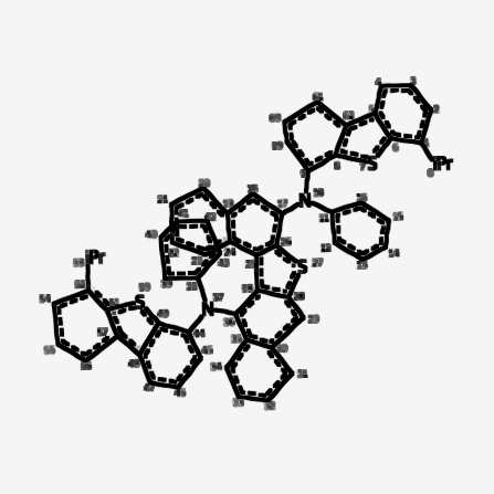 CC(C)c1cccc2c1sc1c(N(c3ccccc3)c3cc4ccccc4c4c3sc3cc5ccccc5c(N(c5ccccc5)c5cccc6c5sc5c(C(C)C)cccc56)c34)cccc12